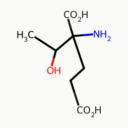 CC(O)C(N)(CCC(=O)O)C(=O)O